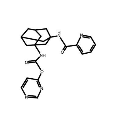 O=C(NC12CC3CC(C1)CC(NC(=O)c1ccccn1)(C3)C2)Oc1ccncn1